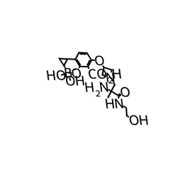 CC(N)(CN1CC(Oc2ccc3c(c2C(=O)O)O[B-](O)(O)C2CC32)C1)C(=O)NCCO